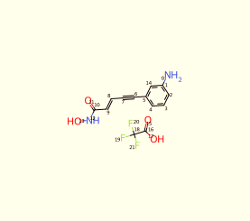 Nc1cccc(C#C/C=C/C(=O)NO)c1.O=C(O)C(F)(F)F